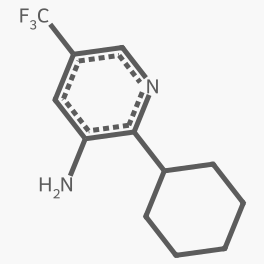 Nc1cc(C(F)(F)F)cnc1C1CCCCC1